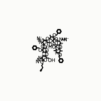 C#CCCCO[C@@H]1OC(CO)[C@@H](O[C@@H]2OC(C)[C@@H](O[C@@H]3OC(CO)[C@@H](O[C@@H]4OC(C)[C@@H](O[C@@H]5OC(CO)[C@@H](O[C@@H]6OC(C)[C@@H](C)[C@@H](OCc7ccccc7)C6C)[C@H](C)C5N=[N+]=[N-])[C@@H](OCc5ccccc5)C4C)[C@H](C)C3N=[N+]=[N-])[C@@H](OCc3ccccc3)C2C)[C@H](C)C1N=[N+]=[N-]